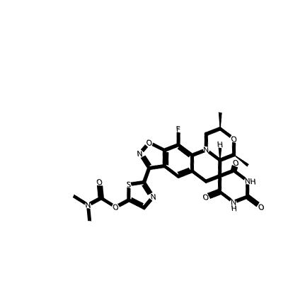 C[C@@H]1CN2c3c(cc4c(-c5ncc(OC(=O)N(C)C)s5)noc4c3F)CC3(C(=O)NC(=O)NC3=O)[C@H]2[C@H](C)O1